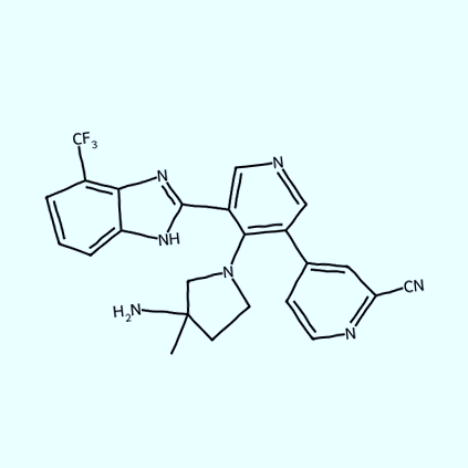 CC1(N)CCN(c2c(-c3ccnc(C#N)c3)cncc2-c2nc3c(C(F)(F)F)cccc3[nH]2)C1